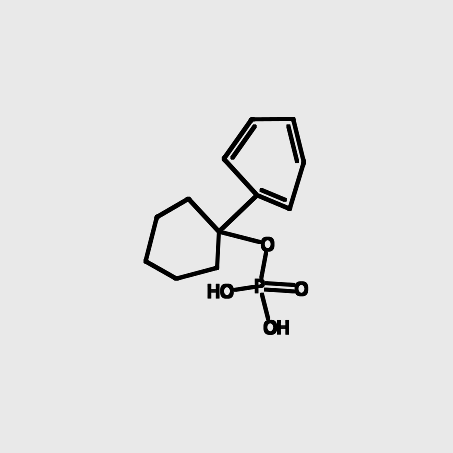 O=P(O)(O)OC1(c2ccccc2)CCCCC1